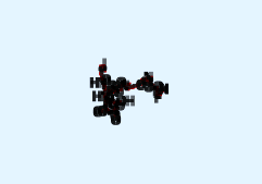 CC(CN1C(=O)CC(SCC(CCCCNC(=O)CCCc2ccc(I)cc2)NC(=O)CN2CCN(COC=O)CCN(COC=O)CCN(CC(=O)O)CC2)C1=O)C(=O)N1CCC(CCCCOc2ccc3nccc(C(=O)CCC(=O)N4CC(C)(F)C[C@@H]4C#N)c3c2)CC1